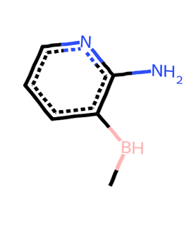 CBc1cccnc1N